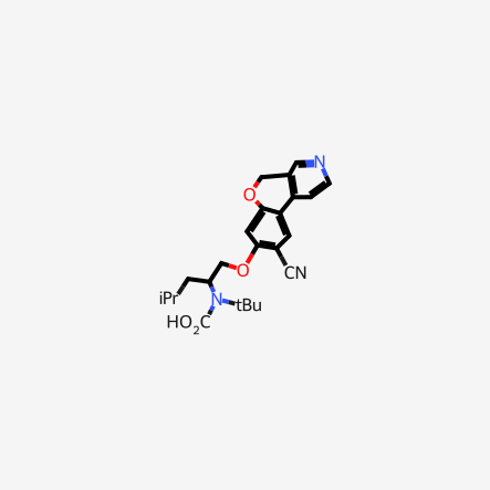 CC(C)CC(COc1cc2c(cc1C#N)-c1ccncc1CO2)N(C(=O)O)C(C)(C)C